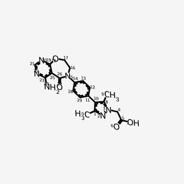 Cc1nn(CC(=O)O)c(C)c1-c1ccc(N2CCOc3ncnc(N)c3C2=O)cc1